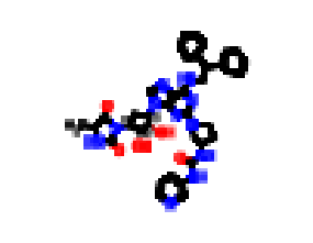 CC1NC(=O)N([C@H]2C[C@@H](n3cnc4c(NCC(c5ccccc5)c5ccccc5)nc(N5CCC(NC(=O)Nc6cccnc6)C5)nc43)[C@H](O)[C@@H]2O)C1=O